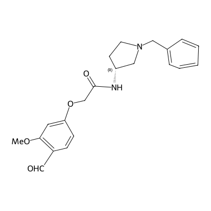 COc1cc(OCC(=O)N[C@@H]2CCN(Cc3ccccc3)C2)ccc1C=O